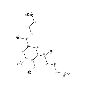 CCCCCCCCCCCCCC(O)C(CCO)SC(CCO)C(O)CCCCCCCCCCCCC